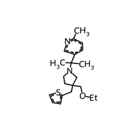 CCOCC1(Cc2cccs2)CCN(C(C)(C)c2ccc(C)nc2)C1